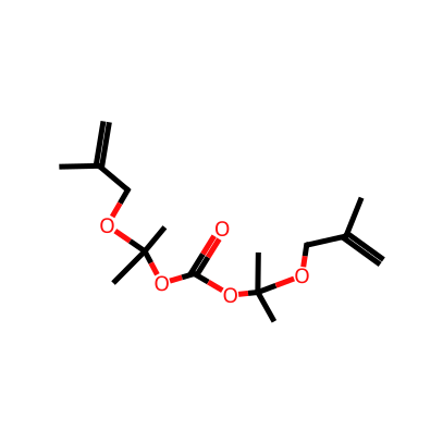 C=C(C)COC(C)(C)OC(=O)OC(C)(C)OCC(=C)C